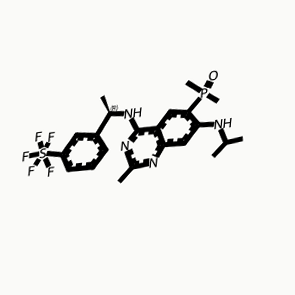 Cc1nc(N[C@H](C)c2cccc(S(F)(F)(F)(F)F)c2)c2cc(P(C)(C)=O)c(NC(C)C)cc2n1